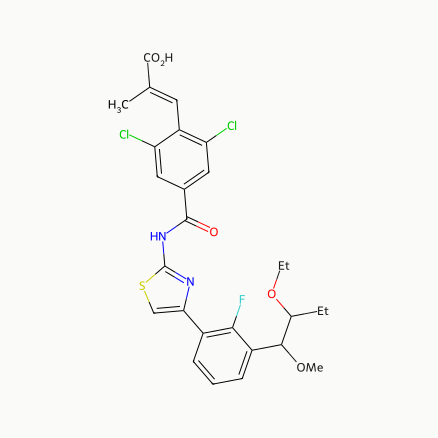 CCOC(CC)C(OC)c1cccc(-c2csc(NC(=O)c3cc(Cl)c(/C=C(\C)C(=O)O)c(Cl)c3)n2)c1F